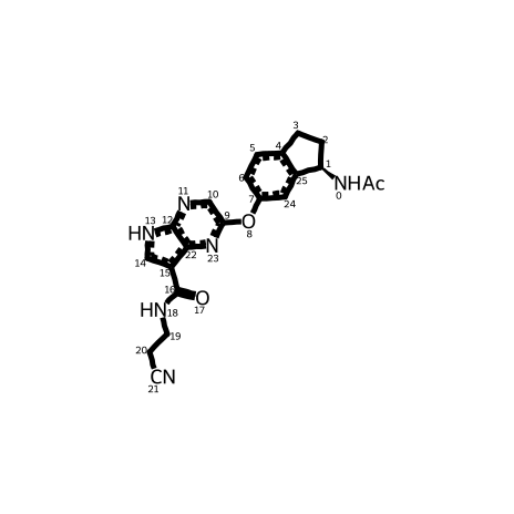 CC(=O)N[C@@H]1CCc2ccc(Oc3cnc4[nH]cc(C(=O)NCCC#N)c4n3)cc21